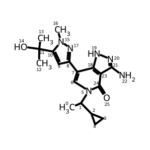 CC(C1CC1)n1cc(-c2cc(C(C)(C)O)n(C)n2)c2[nH]nc(N)c2c1=O